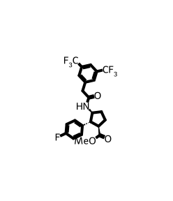 COC(=O)[C@@H]1CC[C@H](NC(=O)Cc2cc(C(F)(F)F)cc(C(F)(F)F)c2)[C@H]1c1ccc(F)cc1